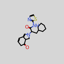 O=C1CC=CC2=CN(C(CC3CCCCC3)C(=O)Nc3nccs3)CC12